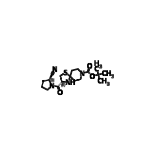 CC(C)(C)OC(=O)N1CCC2(CC1)N[C@H](C(=O)N1CCC[C@H]1C#N)CS2